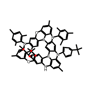 Cc1cc(C)c(N2c3cc4c(cc3B3c5cc(C(C)(C)C)ccc5Oc5cc(C)cc2c53)B2c3cc5c(cc3N(c3c(C)cc(C)cc3C)c3cc(C)cc(c32)O4)N(c2ccc(C(C)(C)C)cc2)c2cc(C)cc3c2B5c2cc(C(C)(C)C)ccc2N3)c(C)c1